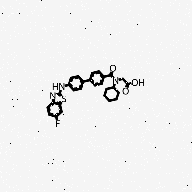 O=C(O)CN(C(=O)c1ccc(-c2ccc(Nc3nc4ccc(F)cc4s3)cc2)cc1)C1CCCCC1